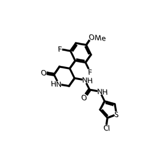 COc1cc(F)c(C2CC(=O)NCC2NC(=O)Nc2csc(Cl)c2)c(F)c1